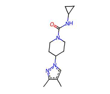 Cc1cn(C2CCN(C(=O)NC3CC3)CC2)nc1C